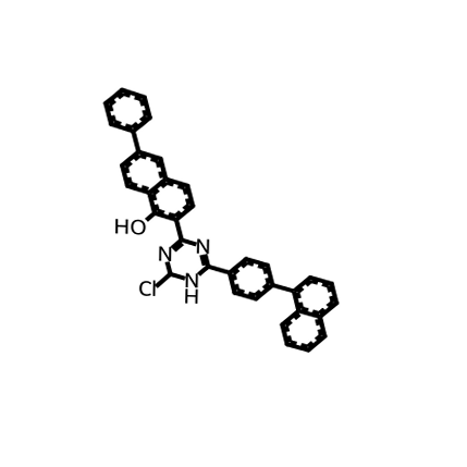 Oc1c(C2=NC(Cl)NC(c3ccc(-c4cccc5ccccc45)cc3)=N2)ccc2cc(-c3ccccc3)ccc12